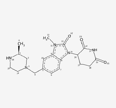 C[C@H]1CN(Cc2ccc3c(c2)n(C)c(=O)n3C2CCC(=O)NC2=O)CCN1